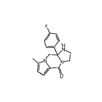 Cc1ccc2n1CC1(c3ccc(F)cc3)NCCN1C2=O